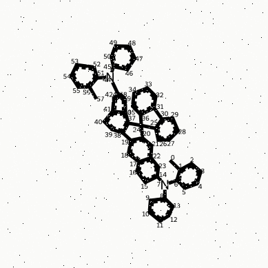 Cc1ccccc1N(c1ccccc1)c1ccc2cc3c(cc2c1)C1(c2ccccc2-c2ccccc21)c1c-3ccc2cc(N(c3ccccc3)c3ccccc3C)ccc12